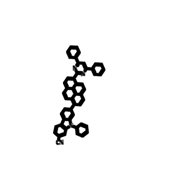 N#Cc1ccc2c3ccc(-c4ccc5ccc6c(-c7nc(-c8ccccc8)cc(-c8ccccc8)n7)ccc7ccc4c5c76)cc3n(-c3ccccc3)c2c1